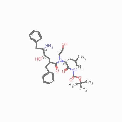 CC(C)C[C@H](C(=O)NC(=O)OC(C)(C)C)N(CCO)C(=O)C(Cc1ccccc1)C[C@H](O)[C@@H](N)Cc1ccccc1